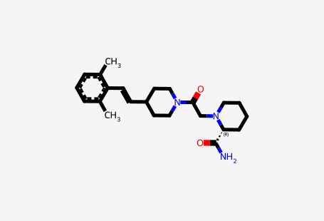 Cc1cccc(C)c1C=CC1CCN(C(=O)CN2CCCC[C@@H]2C(N)=O)CC1